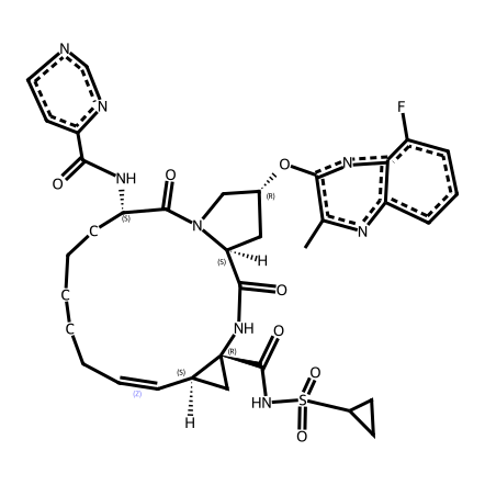 Cc1nc2cccc(F)c2nc1O[C@@H]1C[C@H]2C(=O)N[C@]3(C(=O)NS(=O)(=O)C4CC4)C[C@H]3/C=C\CCCCC[C@H](NC(=O)c3ccncn3)C(=O)N2C1